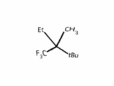 CCC(C)(C(C)(C)C)C(F)(F)F